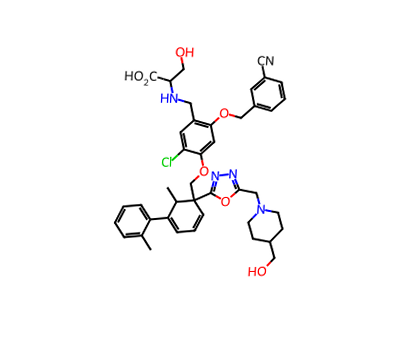 Cc1ccccc1C1=CC=CC(COc2cc(OCc3cccc(C#N)c3)c(CNC(CO)C(=O)O)cc2Cl)(c2nnc(CN3CCC(CO)CC3)o2)C1C